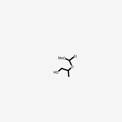 CCC(OC)OC(C)CO